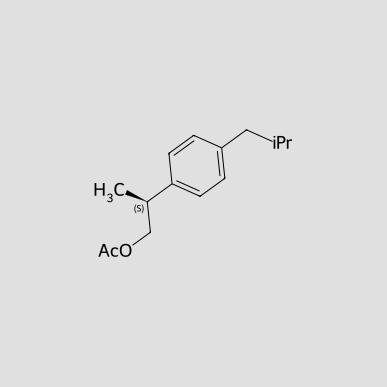 CC(=O)OC[C@@H](C)c1ccc(CC(C)C)cc1